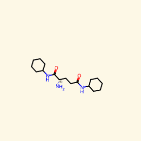 N[C@@H](CCC(=O)NC1CCCCC1)C(=O)NC1CCCCC1